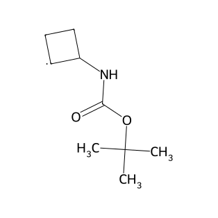 CC(C)(C)OC(=O)NC1[CH]CC1